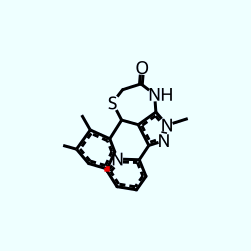 Cc1cccc(C2SCC(=O)Nc3c2c(-c2ccccn2)nn3C)c1C